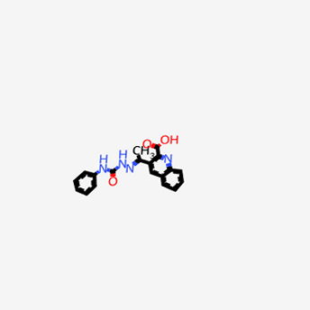 CC(=NNC(=O)Nc1ccccc1)c1cc2ccccc2nc1C(=O)O